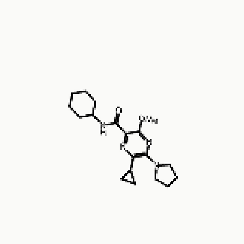 COc1nc(N2CCCC2)c(C2CC2)nc1C(=O)NC1CCCCC1